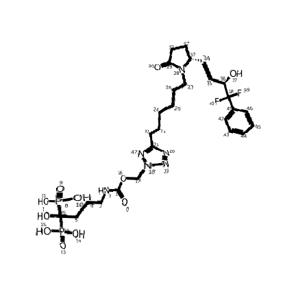 O=C(NCCCC(O)(P(=O)(O)O)P(=O)(O)O)OCn1nnc(CCCCCCN2C(=O)CC[C@@H]2/C=C/[C@@H](O)C(F)(F)c2ccccc2)n1